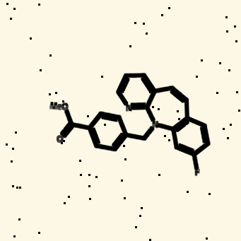 COC(=O)c1ccc(CN2c3cc(F)ccc3C=Cc3cccnc32)cc1